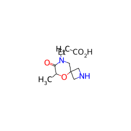 CC(=O)O.CCN1CC2(CNC2)OC(C)C1=O